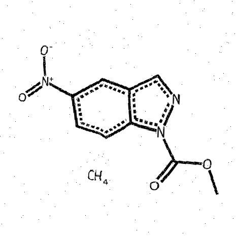 C.COC(=O)n1ncc2cc([N+](=O)[O-])ccc21